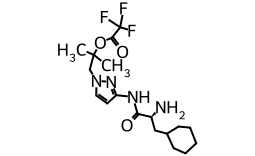 CC(C)(Cn1ccc(NC(=O)[C@@H](N)CC2CCCCC2)n1)OC(=O)C(F)(F)F